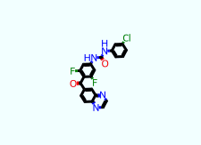 O=C(Nc1cccc(Cl)c1)Nc1cc(F)c(C(=O)c2ccc3nccnc3c2)c(F)c1